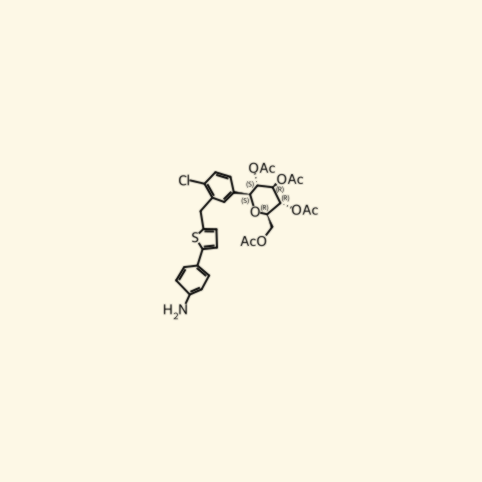 CC(=O)OC[C@H]1O[C@@H](c2ccc(Cl)c(Cc3ccc(-c4ccc(N)cc4)s3)c2)[C@H](OC(C)=O)[C@@H](OC(C)=O)[C@@H]1OC(C)=O